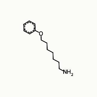 NCCCCCCCOc1ccccc1